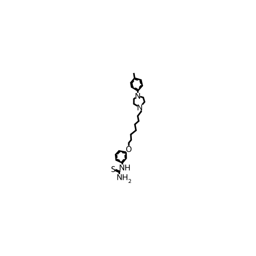 Cc1ccc(N2CCN(CCCCCCCCOc3cccc(NC(N)=S)c3)CC2)cc1